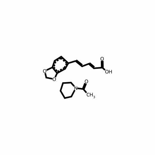 CC(=O)N1CCCCC1.O=C(O)/C=C/C=Cc1ccc2c(c1)OCO2